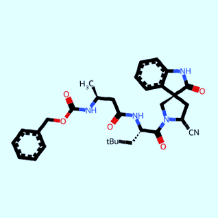 C[C@@H](CC(=O)N[C@@H](CC(C)(C)C)C(=O)N1C[C@]2(CC1C#N)C(=O)Nc1ccccc12)NC(=O)OCc1ccccc1